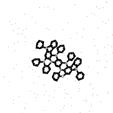 c1ccc(N2c3ccccc3B3c4cc5c(cc4N(c4ccccc4)c4c3c2cc2c4c3ccccc3n2-c2ccccc2)N(c2ccccc2)c2c3c(cc4c2c2ccccc2n4-c2ccccc2)Oc2ccccc2B53)cc1